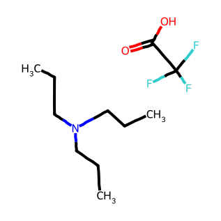 CCCN(CCC)CCC.O=C(O)C(F)(F)F